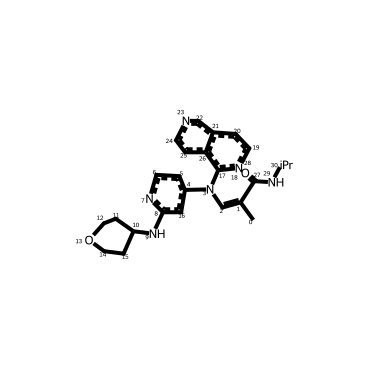 C/C(=C/N(c1ccnc(NC2CCOCC2)c1)c1nccc2cnccc12)C(=O)NC(C)C